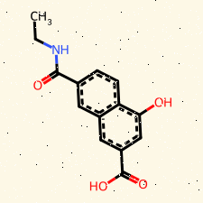 CCNC(=O)c1ccc2c(O)cc(C(=O)O)cc2c1